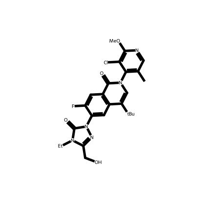 CCn1c(CO)nn(-c2cc3c(C(C)(C)C)cn(-c4c(C)cnc(OC)c4Cl)c(=O)c3cc2F)c1=O